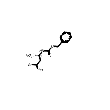 CC(C)(C)C(Br)C[C@H](NC(=O)OCc1ccccc1)C(=O)O